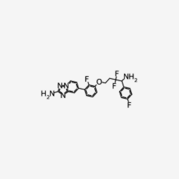 Nc1nc2cc(-c3cccc(OCCC(F)(F)C(N)c4ccc(F)cc4)c3F)ccn2n1